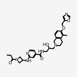 CCC(=O)N1CC(Nc2cc(C(=O)NCC(O)CN3CCc4c(ccc(OCc5cnco5)c4C)C3)ccn2)C1